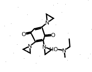 CCN(C)O.O=C1C=C(N2CC2)C(=O)C(N2CC2)=C1N1CC1